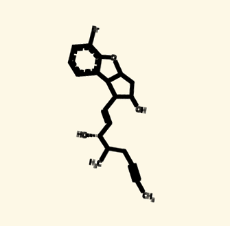 CC#CCC(C)[C@H](O)/C=C/C1C(O)CC2Oc3c(Br)cccc3C21